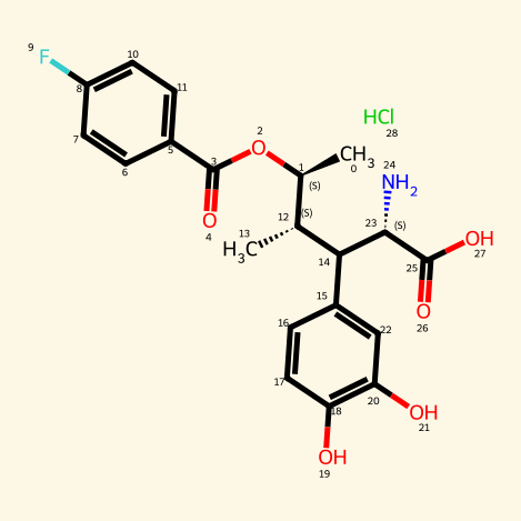 C[C@H](OC(=O)c1ccc(F)cc1)[C@@H](C)C(c1ccc(O)c(O)c1)[C@H](N)C(=O)O.Cl